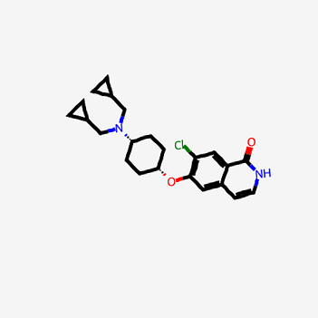 O=c1[nH]ccc2cc(O[C@H]3CC[C@@H](N(CC4CC4)CC4CC4)CC3)c(Cl)cc12